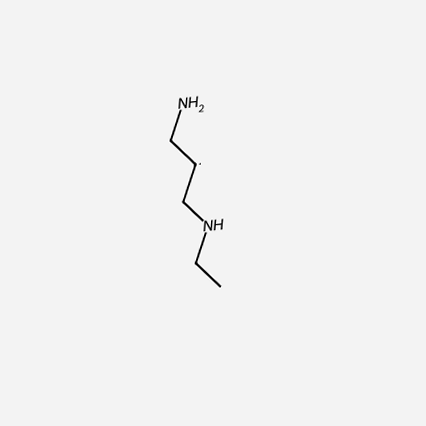 CCNC[CH]CN